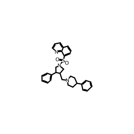 O=S(=O)(c1cccc2cccnc12)N1CC(CN2CCC(c3ccccc3)CC2)C(c2ccccc2)C1